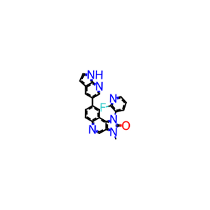 Cn1c(=O)n(-c2cccnc2F)c2c3cc(-c4cnc5[nH]ccc5c4)ccc3ncc21